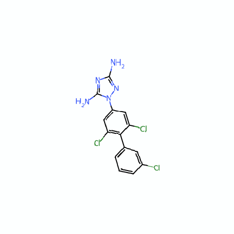 Nc1nc(N)n(-c2cc(Cl)c(-c3cccc(Cl)c3)c(Cl)c2)n1